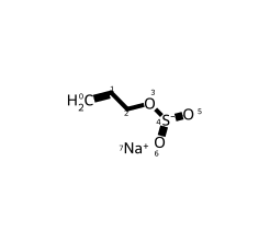 C=CCO[S-](=O)=O.[Na+]